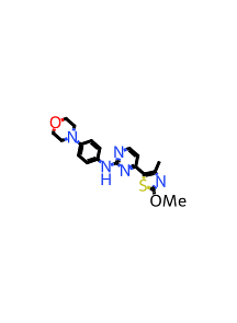 COc1nc(C)c(-c2ccnc(Nc3ccc(N4CCOCC4)cc3)n2)s1